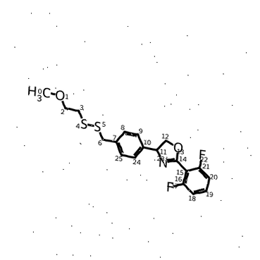 COCCSSCc1ccc(C2COC(c3c(F)cccc3F)=N2)cc1